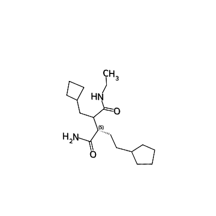 CCNC(=O)C(CC1CCC1)[C@H](CCC1CCCC1)C(N)=O